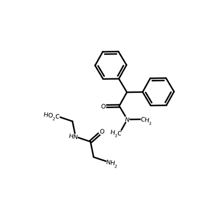 CN(C)C(=O)C(c1ccccc1)c1ccccc1.NCC(=O)NCC(=O)O